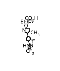 CCC(CC)(COc1cc(C)c(-c2ccc(-c3ncc(C(F)(F)F)[nH]3)c(F)c2)cn1)C(=O)O